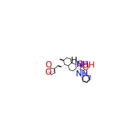 C=C1CC[C@H]2[C@@](C)(CC[C@@H](C(N)(Cc3ccccc3)C(=O)O)[C@@]2(C)NC=O)[C@@H]1/C=C/C1=CCOC1=O